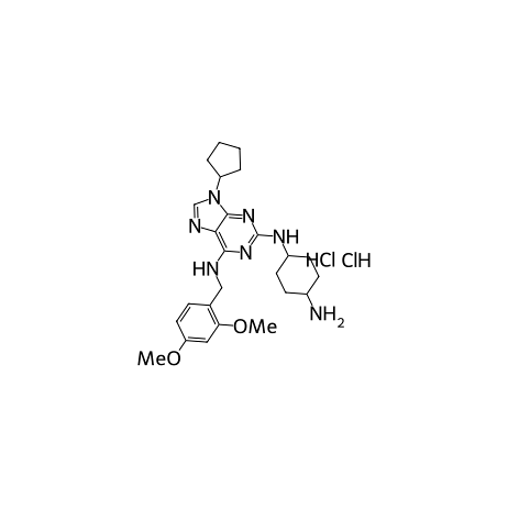 COc1ccc(CNc2nc(NC3CCC(N)CC3)nc3c2ncn3C2CCCC2)c(OC)c1.Cl.Cl